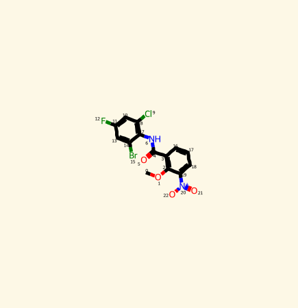 COc1c(C(=O)Nc2c(Cl)cc(F)cc2Br)cccc1[N+](=O)[O-]